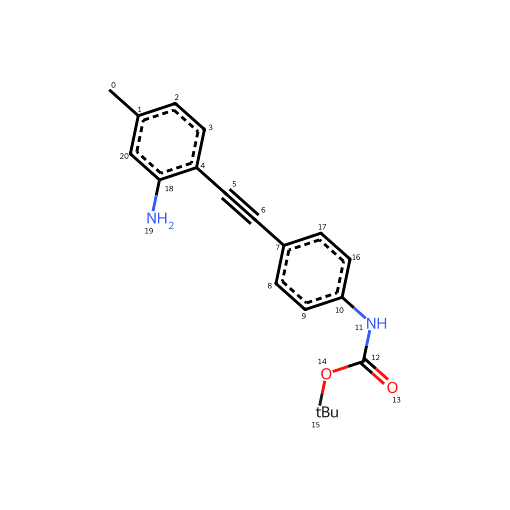 Cc1ccc(C#Cc2ccc(NC(=O)OC(C)(C)C)cc2)c(N)c1